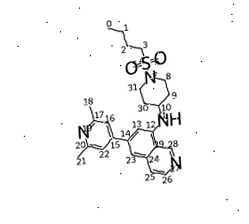 CCCCS(=O)(=O)N1CCC(Nc2cc(-c3cc(C)nc(C)c3)cc3ccncc23)CC1